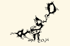 CC(C)CC(C[C@@H](Cc1cncn1COCc1ccccc1)C(=O)NCCc1ccccc1)C(=O)O